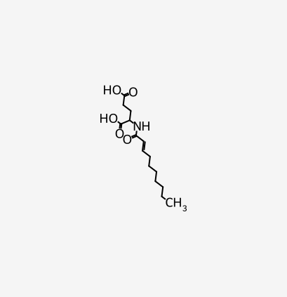 CCCCCCC/C=C/C(=O)NC(CCC(=O)O)C(=O)O